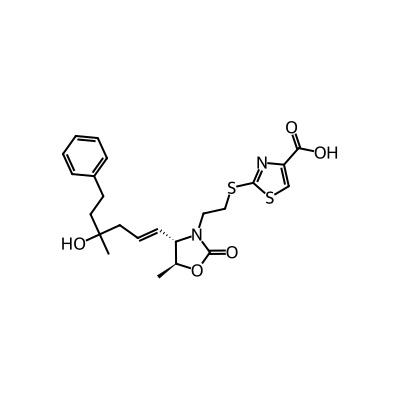 C[C@@H]1OC(=O)N(CCSc2nc(C(=O)O)cs2)[C@H]1C=CCC(C)(O)CCc1ccccc1